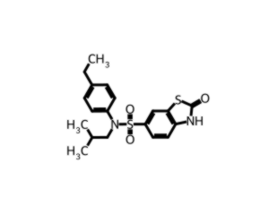 CCc1ccc(N(CC(C)C)S(=O)(=O)c2ccc3[nH]c(=O)sc3c2)cc1